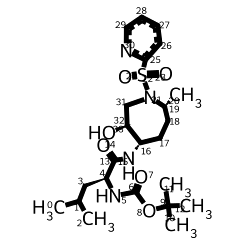 CC(C)C[C@H](NC(=O)OC(C)(C)C)C(=O)N[C@H]1CC[C@@H](C)N(S(=O)(=O)c2ccccn2)C[C@@H]1O